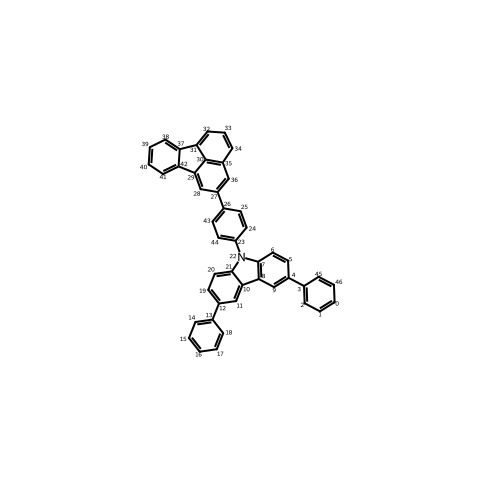 c1ccc(-c2ccc3c(c2)c2cc(-c4ccccc4)ccc2n3-c2ccc(-c3cc4c5c(cccc5c3)-c3ccccc3-4)cc2)cc1